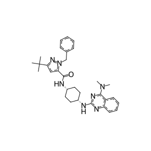 CN(C)c1nc(N[C@H]2CC[C@@H](NC(=O)c3cc(C(C)(C)C)nn3Cc3ccccc3)CC2)nc2ccccc12